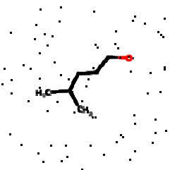 CC(C)CCC[O]